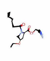 C=CCCC(=O)N1CC(OCC)CC1C(=O)OCC#N